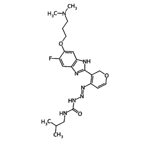 CC(C)CNC(=O)NN=NC1=C(c2nc3cc(F)c(OCCCN(C)C)cc3[nH]2)COC=C1